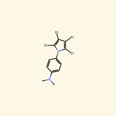 CCc1c(CC)c(CC)n(-c2ccc(N(C)C)cc2)c1CC